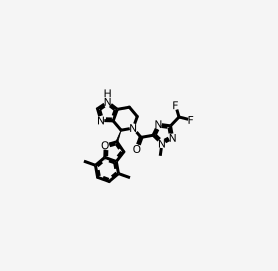 Cc1ccc(C)c2oc([C@H]3c4nc[nH]c4CCN3C(=O)c3nc(C(F)F)nn3C)cc12